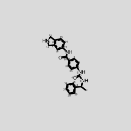 CC(NC(=O)Nc1ccc(C(=O)Nc2ccc3c(c2)CNC3)cc1)c1ccccc1